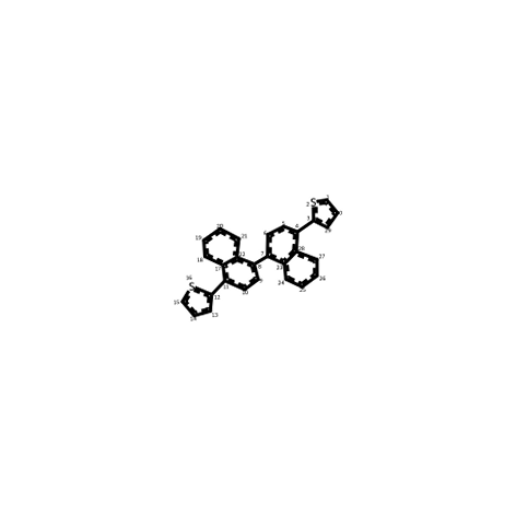 c1csc(-c2ccc(-c3ccc(-c4cccs4)c4ccccc34)c3ccccc23)c1